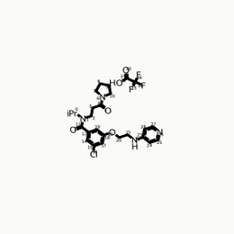 CC(C)N(CCC(=O)N1CCCC1)C(=O)c1cc(Cl)cc(OCCNc2ccncc2)c1.O=C(O)C(F)(F)F